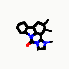 Cc1cc2c3ccccc3n3c(=O)n4cc[n+](C)c4c(c1C)c23